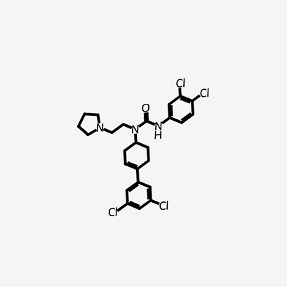 O=C(Nc1ccc(Cl)c(Cl)c1)N(CCN1CCCC1)C1CC=C(c2cc(Cl)cc(Cl)c2)CC1